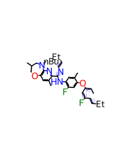 C\C=C(/C=C(F)\C=C\CC)Oc1cc(F)c(N/C(=N/C=C/CC)c2nc3c(cc2C)OCC(C)CN3CCCC)cc1C